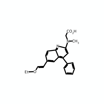 CCO/C=C/c1ccc2nc(N(C)CC(=O)O)cc(-c3ccccc3)c2c1